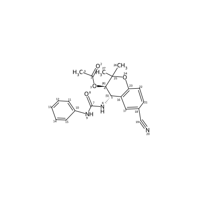 CC(=O)O[C@@H]1[C@@H](NC(=O)Nc2ccccc2)c2cc(C#N)ccc2OC1(C)C